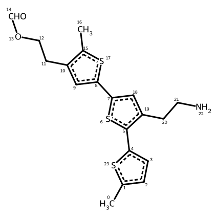 Cc1ccc(-c2sc(-c3cc(CCOC=O)c(C)s3)cc2CCN)s1